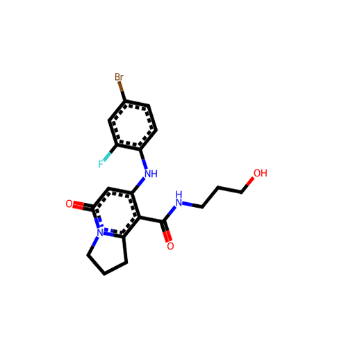 O=C(NCCCO)c1c(Nc2ccc(Br)cc2F)cc(=O)n2c1CCC2